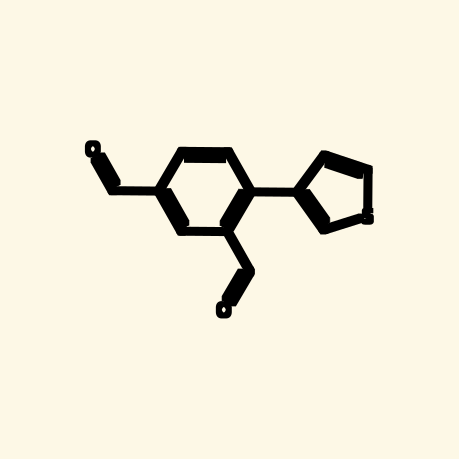 O=Cc1ccc(-c2ccsc2)c(C=O)c1